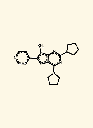 Cn1c(-c2ccncc2)cc2c(N3CCCC3)nc(N3CCCC3)nc21